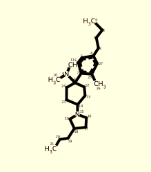 CCCCc1ccc(C2(N(C)C)CCC(N3CCC(CCC)C3)CC2)c(C)c1